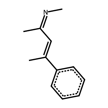 C/N=C(C)\C=C(/C)c1ccccc1